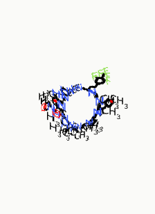 CC[C@H](C)[C@H]1C(C)NC2(CCCC2)CNCCNC=CC(CCc2cc(F)c(C(F)(F)F)c(F)c2)=NC=CN(C)C=C(Cc2ccc(C)cc2)N(CC)C=C2CCCN2[C@@H](C)C(C)N[C@@H]([C@@H](C)CC)CN[C@@H](CC(C)C)C(C)NCC2[C@@H](C(=O)N3CCOCC3)C(C)N21